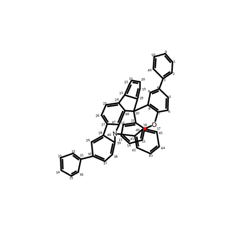 c1ccc(-c2ccc3c(c2)C2(c4ccccc4O3)c3ccccc3-c3ccc4c5cc(-c6ccccc6)ccc5n(-c5ccccc5)c4c32)cc1